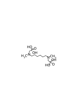 CN(CCCCCCN(C)CP(=O)(O)O)CP(=O)(O)O